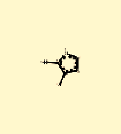 Cc1ccoc1[N]